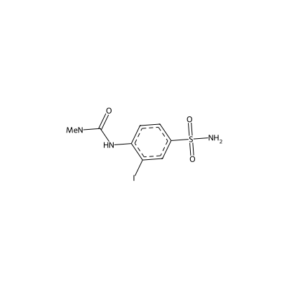 CNC(=O)Nc1ccc(S(N)(=O)=O)cc1I